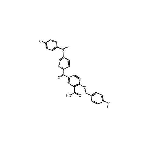 COc1ccc(COc2ccc(C(=O)c3ccc(N(C)c4ccc(Cl)cc4)cn3)cc2C(=O)O)cc1